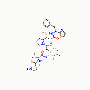 CC[C@H](C)[C@@H]([C@@H](CC(=O)N1CCC[C@H]1[C@H](OC)[C@@H](C)C(=O)N[C@@H](Cc1ccccc1)c1nccs1)OC)N(C)C(=O)[C@@H](NC(=O)C1(F)CCNC1)C(C)C